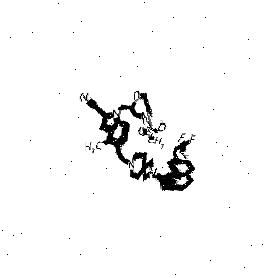 Cc1c(CN2CCC3(CC2)CN(c2cccc4ccc(CC(F)(F)F)cc24)C3)ccc2c1cc(C#N)n2CC1CN(S(C)(=O)=O)CCO1